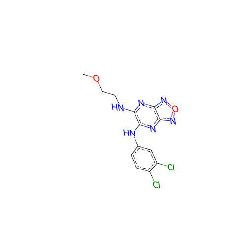 COCCNc1nc2nonc2nc1Nc1ccc(Cl)c(Cl)c1